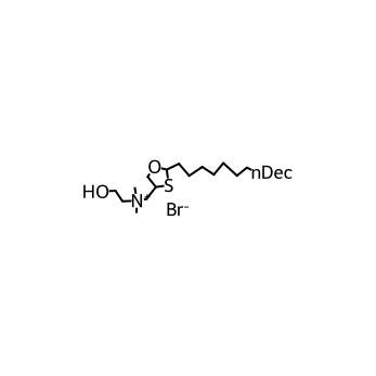 CCCCCCCCCCCCCCCCCC1OCC(C[N+](C)(C)CCO)S1.[Br-]